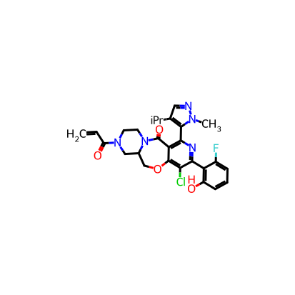 C=CC(=O)N1CCN2C(=O)c3c(-c4c(C(C)C)cnn4C)nc(-c4c(O)cccc4F)c(Cl)c3OCC2C1